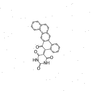 O=C1NC(=O)C(=C2C(=O)c3cc4c(ccc5ccccc54)cc3-c3ccccc32)C(=O)N1